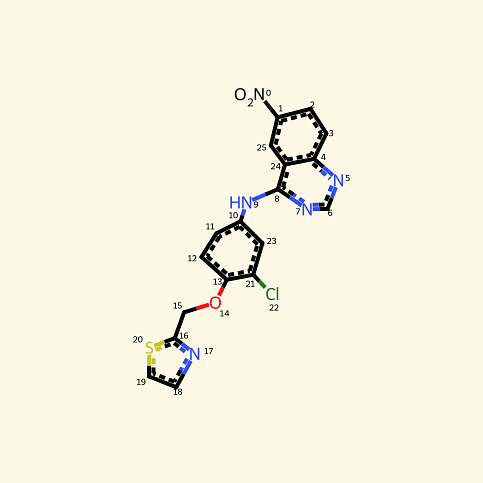 O=[N+]([O-])c1ccc2ncnc(Nc3ccc(OCc4nccs4)c(Cl)c3)c2c1